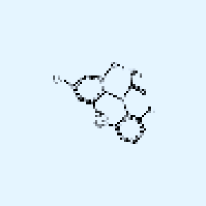 CCc1cccc(C)c1N(C(N)=S)c1c(C)cc(C)cc1C